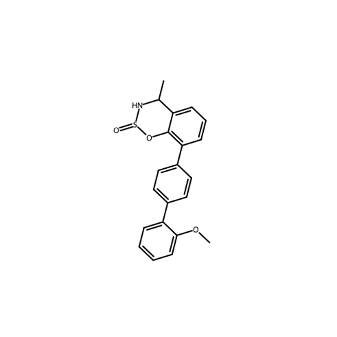 COc1ccccc1-c1ccc(-c2cccc3c2OS(=O)NC3C)cc1